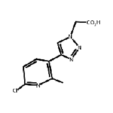 Cc1nc(Cl)ccc1-c1cn(CC(=O)O)nn1